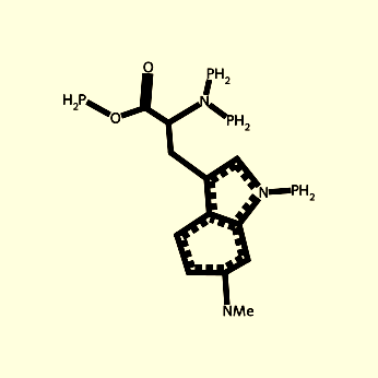 CNc1ccc2c(CC(C(=O)OP)N(P)P)cn(P)c2c1